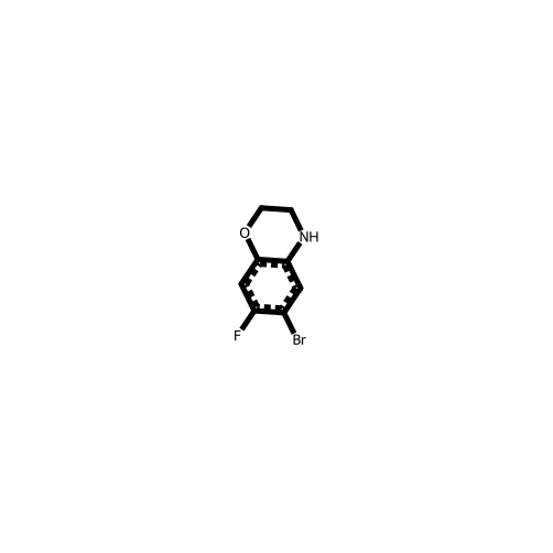 Fc1cc2c(cc1Br)NCCO2